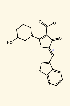 O=C(O)C1=C(N2CCCC(O)C2)O/C(=C\c2c[nH]c3ncccc23)C1=O